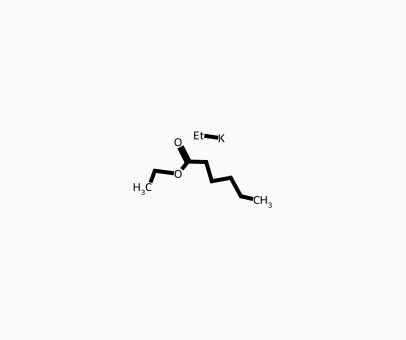 CCCCCC(=O)OCC.C[CH2][K]